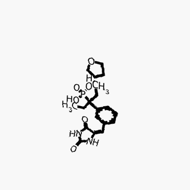 C1CCOC1.CCC(CC)(c1cccc(C=C2NC(=O)NC2=O)c1)P(=O)(O)O